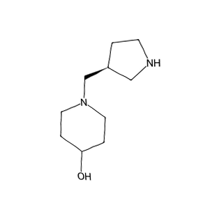 OC1CCN(C[C@H]2CCNC2)CC1